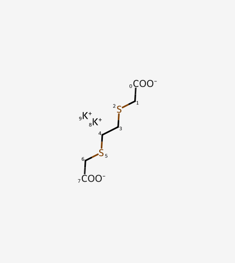 O=C([O-])CSCCSCC(=O)[O-].[K+].[K+]